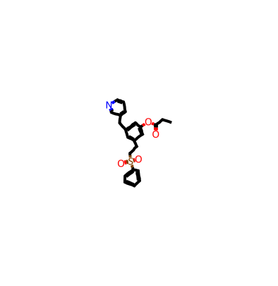 CCC(=O)Oc1cc(CCS(=O)(=O)c2ccccc2)cc(Cc2cccnc2)c1